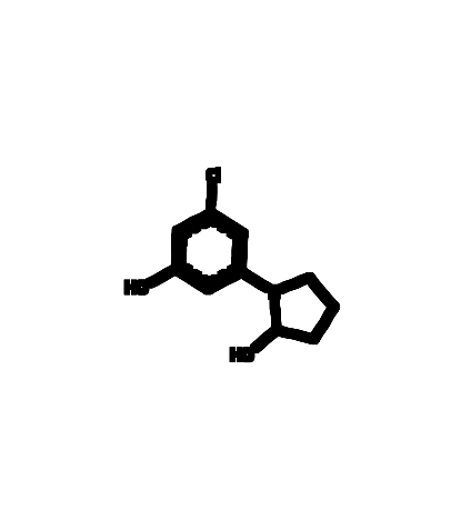 Oc1cc(Cl)cc(N2CCCC2O)c1